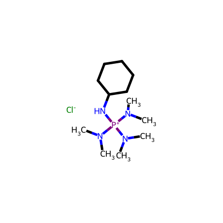 CN(C)[P+](NC1CCCCC1)(N(C)C)N(C)C.[Cl-]